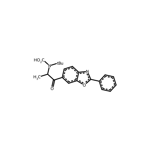 CC(C(=O)c1ccc2nc(-c3ccccc3)oc2c1)N(C(=O)O)C(C)(C)C